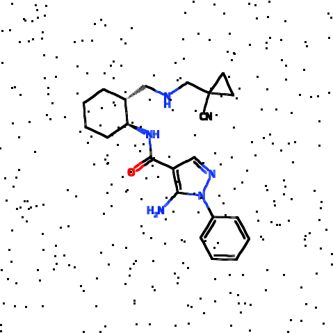 N#CC1(CNC[C@H]2CCCC[C@@H]2NC(=O)c2cnn(-c3ccccc3)c2N)CC1